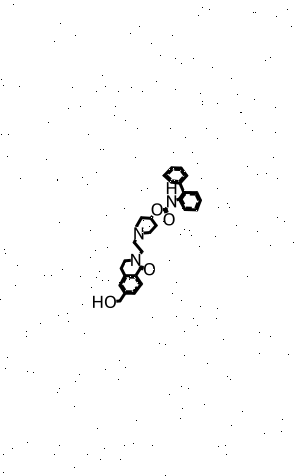 O=C(Nc1ccccc1-c1ccccc1)OC1CCN(CCN2CCc3cc(CO)ccc3C2=O)CC1